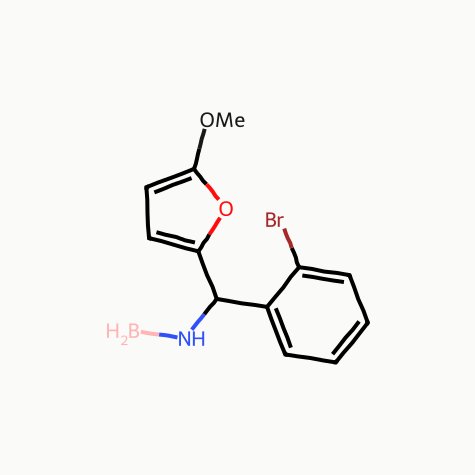 BNC(c1ccc(OC)o1)c1ccccc1Br